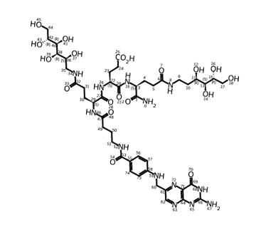 NC(=O)[C@H](CCC(=O)NCC[C@@H](O)[C@H](O)[C@H](O)CO)NC(=O)[C@H](CCC(=O)O)NC(=O)[C@H](CCC(=O)NC[C@H](O)[C@@H](O)[C@H](O)[C@H](O)CO)NC(=O)CCCNC(=O)c1ccc(NCc2cnc3nc(N)[nH]c(=O)c3n2)cc1